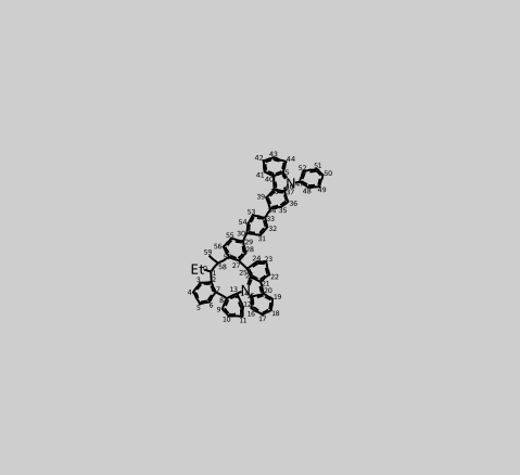 CCC1c2ccccc2-c2ccccc2-n2c3ccccc3c3cccc(c32)-c2cc(-c3ccc(-c4ccc5c(c4)c4ccccc4n5-c4ccccc4)cc3)ccc2C1C